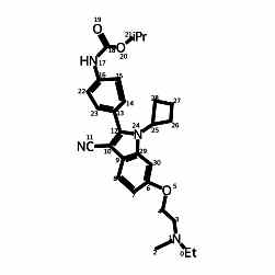 CCN(C)CCOc1ccc2c(C#N)c(-c3ccc(NC(=O)OC(C)C)cc3)n(C3CCC3)c2c1